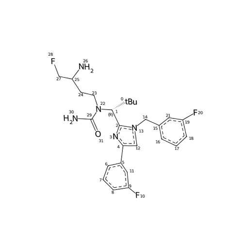 CC(C)(C)[C@H](c1nc(-c2cccc(F)c2)cn1Cc1cccc(F)c1)N(CCC(N)CF)C(N)=O